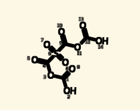 O=C(O)OC(=O)S(=O)(=O)C(=O)OC(=O)O